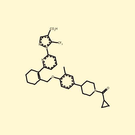 Cc1cc(C2CCN(C(=O)C3CC3)CC2)ccc1OCC1=C(c2cccc(-n3ncc(C(=O)O)c3C(F)(F)F)n2)CCCC1